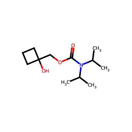 CC(C)N(C(=O)OCC1(O)CCC1)C(C)C